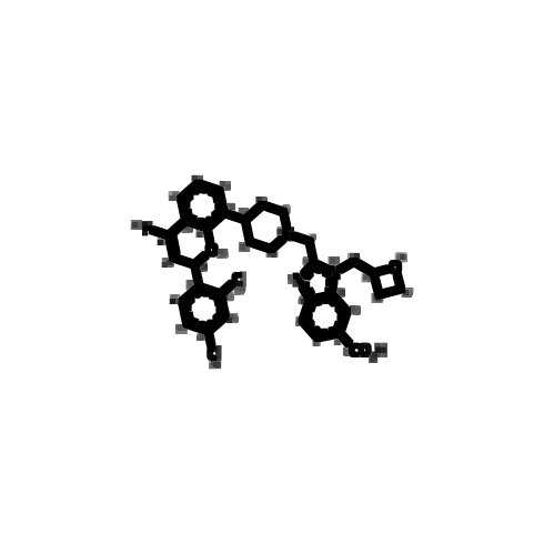 O=C(O)c1ccc2nc(CN3CCC(c4cccc5c4OC(c4ccc(Cl)cc4Cl)C=C5F)CC3)n(CC3CCO3)c2c1